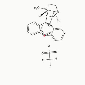 C[N+]12CCN(CC1)[C@@H](c1cccc3ccccc13)[C@@H]2c1cccc2ccccc12.O=S(=O)([O-])C(F)(F)F